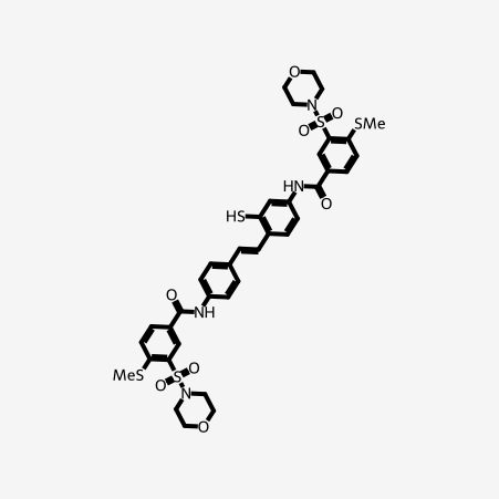 CSc1ccc(C(=O)Nc2ccc(C=Cc3ccc(NC(=O)c4ccc(SC)c(S(=O)(=O)N5CCOCC5)c4)cc3S)cc2)cc1S(=O)(=O)N1CCOCC1